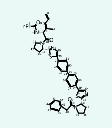 C=C/C=C(\C)[C@@H](NC(=O)CCC)C(=O)N1CCC[C@H]1c1ncc(-c2ccc(-c3ccc(-c4cnc([C@@H]5CCCN5C(=O)Cc5ccccc5)s4)cc3)cc2)s1